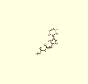 CCCC(=O)CC(=O)Nc1ncc(N2CCOCC2)s1